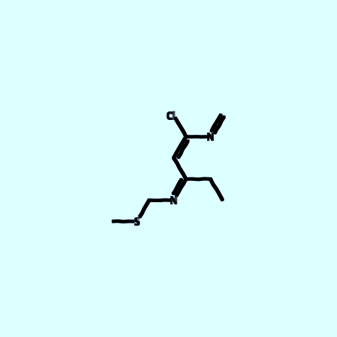 C=N/C(Cl)=C\C(CC)=N/CSC